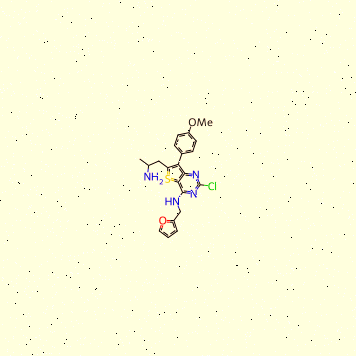 COc1ccc(-c2c(CC(C)N)sc3c(NCc4ccco4)nc(Cl)nc23)cc1